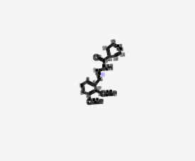 COc1cccc(/C=N/NC(=O)c2ccncc2)c1OC